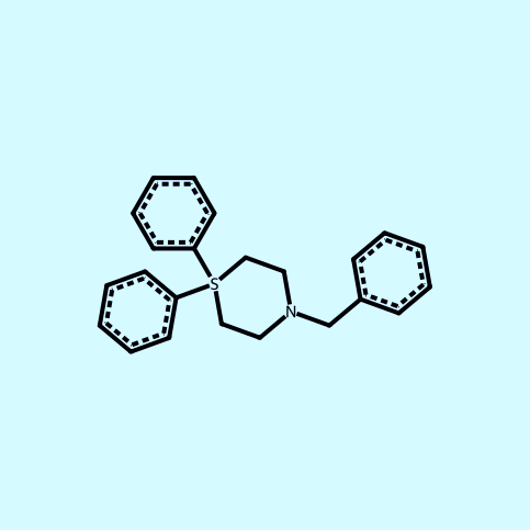 c1ccc(CN2CCS(c3ccccc3)(c3ccccc3)CC2)cc1